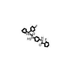 O=C(Nc1ccc(N(S)C(=O)NC(c2ccccc2)c2ccc(F)cc2)cc1)c1ccccc1F